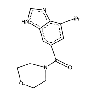 CC(C)c1cc(C(=O)N2CCOCC2)cc2[nH]cnc12